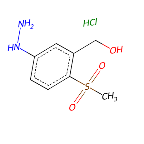 CS(=O)(=O)c1ccc(NN)cc1CO.Cl